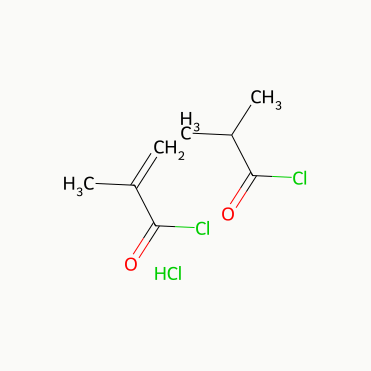 C=C(C)C(=O)Cl.CC(C)C(=O)Cl.Cl